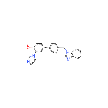 COc1ccc(-c2ccc(Cn3cnc4ccccc43)cc2)cc1-n1ccnc1